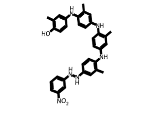 Cc1cc(Nc2ccc(Nc3ccc(Nc4ccc(NNc5cccc([N+](=O)[O-])c5)cc4C)cc3C)cc2C)ccc1O